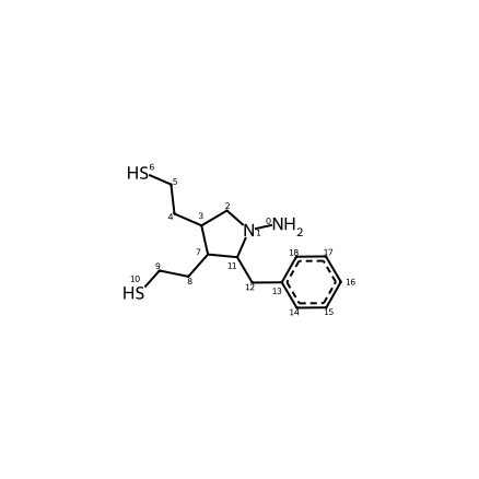 NN1CC(CCS)C(CCS)C1Cc1ccccc1